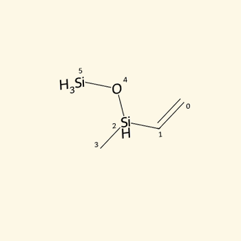 C=C[SiH](C)O[SiH3]